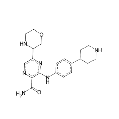 NC(=O)c1ncc(C2COCCN2)nc1Nc1ccc(C2CCNCC2)cc1